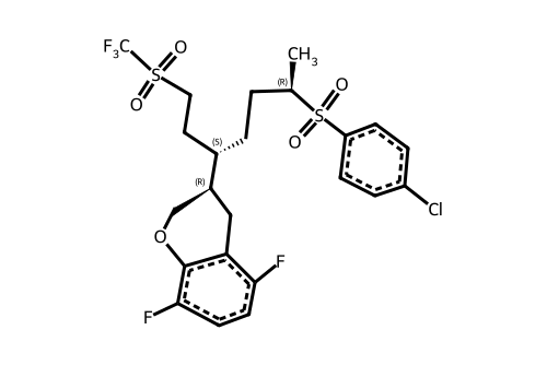 C[C@H](CC[C@@H](CCS(=O)(=O)C(F)(F)F)[C@@H]1COc2c(F)ccc(F)c2C1)S(=O)(=O)c1ccc(Cl)cc1